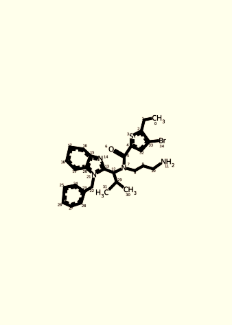 CCc1sc(C(=O)N(CCCN)C(c2nc3ccccc3n2Cc2ccccc2)C(C)C)cc1Br